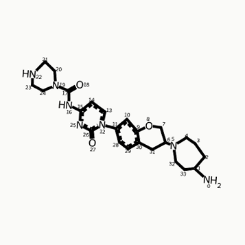 NC1CCCN(C2COc3cc(-n4ccc(NC(=O)N5CCNCC5)nc4=O)ccc3C2)CC1